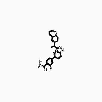 CNC(=O)c1ccc(-c2ccc3nnc(C(C)c4ccc5ncccc5c4)n3n2)cc1F